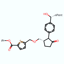 CCCCC[C@@H](O)c1ccc(C2C(=O)CC[C@@H]2COCc2ccc(C(=O)OC(C)C)s2)cc1